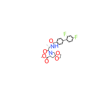 COC(=O)[C@@H]1CC2(CN1C(=O)[C@H](C)NC(=O)c1ccc(-c3ccc(F)cc3F)cc1)OCCO2